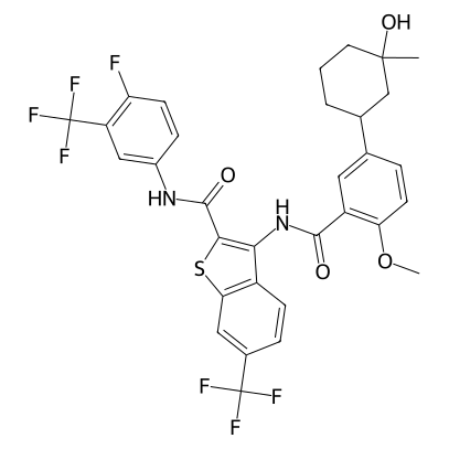 COc1ccc(C2CCCC(C)(O)C2)cc1C(=O)Nc1c(C(=O)Nc2ccc(F)c(C(F)(F)F)c2)sc2cc(C(F)(F)F)ccc12